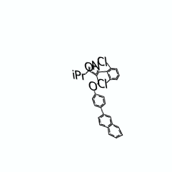 CC(C)c1onc(-c2c(Cl)cccc2Cl)c1COc1ccc(-c2ccc3ccccc3c2)cc1